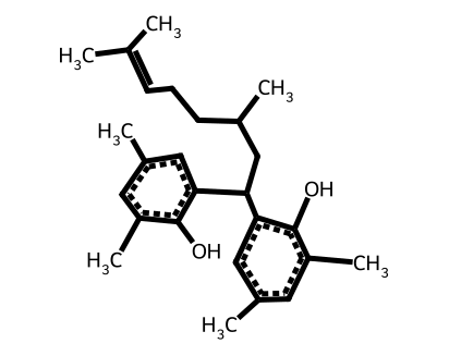 CC(C)=CCCC(C)CC(c1cc(C)cc(C)c1O)c1cc(C)cc(C)c1O